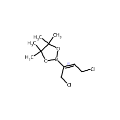 CC1(C)OB(/C(=C/CCl)CCl)OC1(C)C